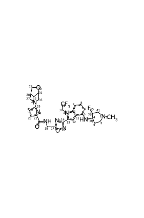 CN1CC[C@@H](Nc2cccc3c2cc(-c2noc(CNC(=O)c4csc(N5CC6COC(C6)C5)n4)n2)n3CC(F)(F)F)[C@@H](F)C1